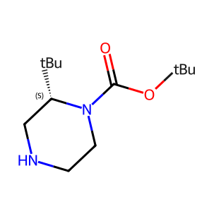 CC(C)(C)OC(=O)N1CCNC[C@@H]1C(C)(C)C